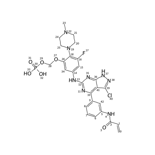 C=CC(=O)Nc1cccc(-c2nc(Nc3cc(F)c(N4CCN(C)CC4)c(OCOP(=O)(O)O)c3)nc3[nH]nc(Cl)c23)c1